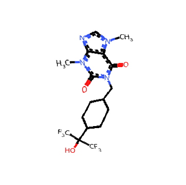 Cn1cnc2c1c(=O)n(CC1CCC(C(O)(C(F)(F)F)C(F)(F)F)CC1)c(=O)n2C